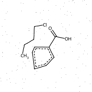 CCCCCl.O=C(O)c1ccccc1